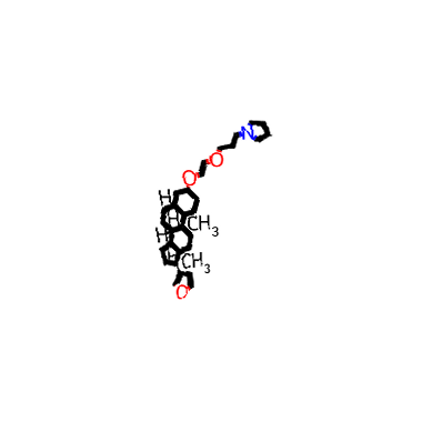 C[C@]12CC[C@H](OCCOCCCN3CCCC3)C[C@H]1CC[C@H]1[C@H]3CC[C@H](c4ccoc4)[C@@]3(C)CC[C@@H]12